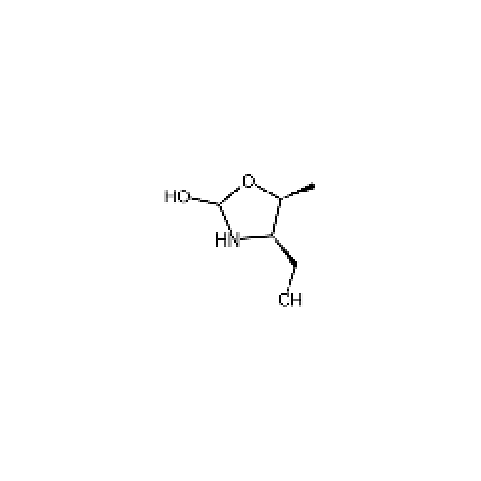 C[C@@H]1OC(O)N[C@@H]1CO